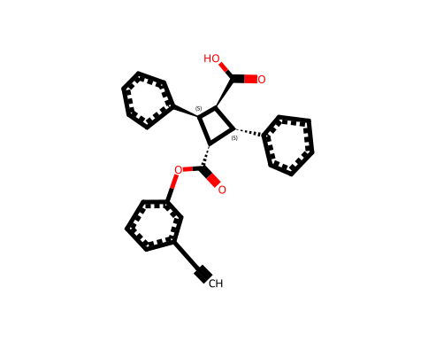 C#Cc1cccc(OC(=O)[C@H]2[C@@H](c3ccccc3)[C@H](C(=O)O)[C@@H]2c2ccccc2)c1